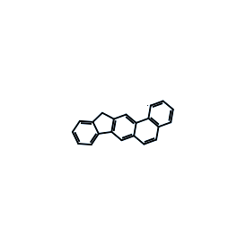 [c]1cccc2ccc3cc4c(cc3c12)Cc1ccccc1-4